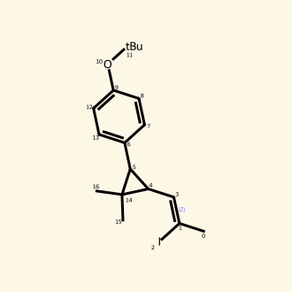 C/C(I)=C/C1C(c2ccc(OC(C)(C)C)cc2)C1(C)C